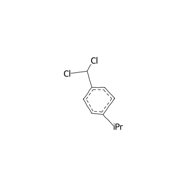 CC(C)c1ccc(C(Cl)Cl)cc1